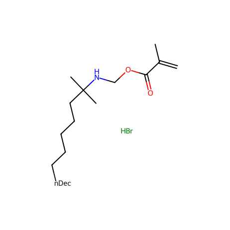 Br.C=C(C)C(=O)OCNC(C)(C)CCCCCCCCCCCCCCC